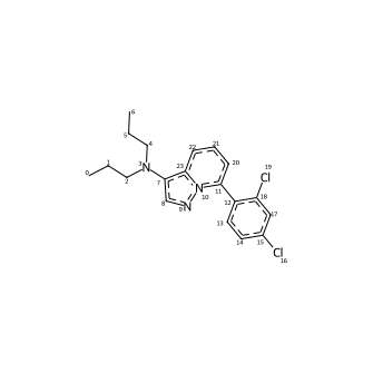 CCCN(CCC)c1cnn2c(-c3ccc(Cl)cc3Cl)cccc12